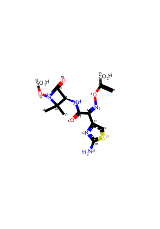 C=C(O/N=C(\C(=O)N[C@@H]1C(=O)N(OS(=O)(=O)O)C1(C)C)c1csc(N)n1)C(=O)O